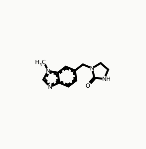 Cn1cnc2ccc(CN3CCNC3=O)cc21